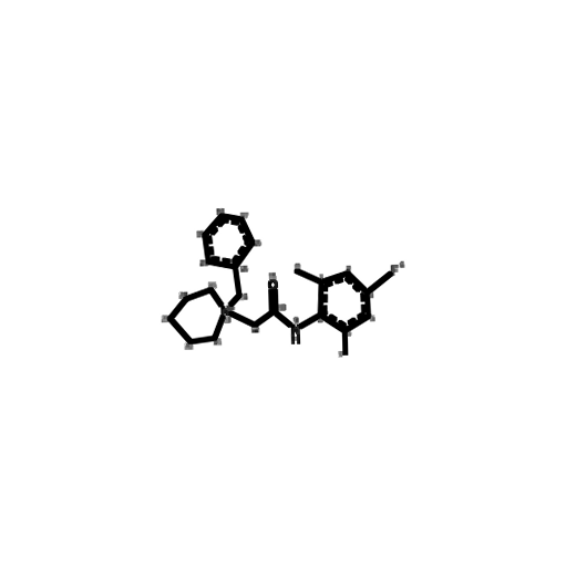 Cc1cc(F)cc(C)c1NC(=O)C[N+]1(Cc2ccccc2)CCCCC1